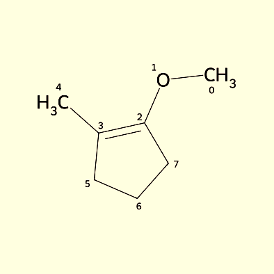 COC1=C(C)CCC1